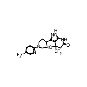 O=C1CC(O)(C(F)(F)F)c2c(C3CCN(c4ccc(C(F)(F)F)cn4)CC3)n[nH]c2N1